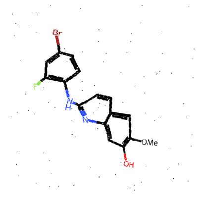 COc1cc2ccc(Nc3ccc(Br)cc3F)nc2cc1O